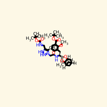 COc1c(C[C@H](NC(=O)CN2NNC(CNC(=O)OC(C)(C)C)=C2C)B2O[C@@H]3C[C@@H]4C[C@@H](C4(C)C)[C@]3(C)O2)cccc1C(=O)OC(C)(C)C